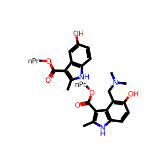 CCCOC(=O)c1c(C)[nH]c2ccc(O)c(CN(C)C)c12.CCCOC(=O)c1c(C)[nH]c2ccc(O)cc12